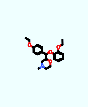 CCOc1ccc(C(Oc2ccccc2OCC)C2CN(C)CCO2)cc1